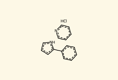 Cl.c1ccc(-c2ccc[nH]2)cc1.c1ccncc1